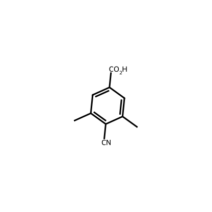 Cc1cc(C(=O)O)cc(C)c1C#N